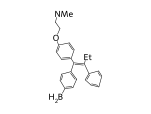 Bc1ccc(C(=C(CC)c2ccccc2)c2ccc(OCCNC)cc2)cc1